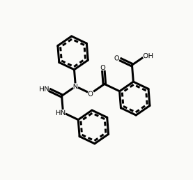 N=C(Nc1ccccc1)N(OC(=O)c1ccccc1C(=O)O)c1ccccc1